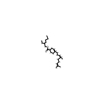 CCCCC(CC)COC(=O)C1CC=C(CCC=C(C)CCC=C(C)C)CC1